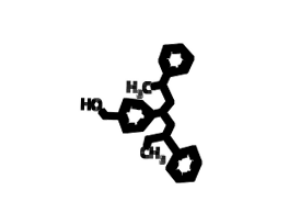 CCC(CC(CC(C)c1ccccc1)c1ccc(CO)cc1)c1ccccc1